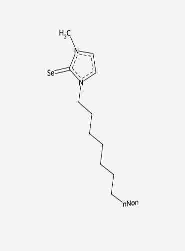 CCCCCCCCCCCCCCCCn1ccn(C)c1=[Se]